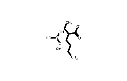 CCCCC(CC)C(=O)[O-].[O-]B(O)O.[Zn+2]